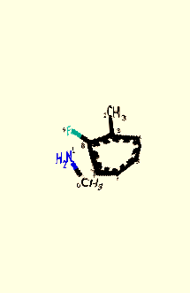 CN.Cc1ccccc1F